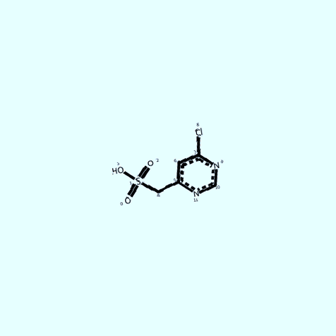 O=S(=O)(O)Cc1cc(Cl)ncn1